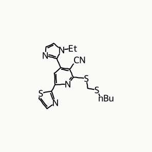 CCCCSCSc1nc(-c2nccs2)cc(-c2nccn2CC)c1C#N